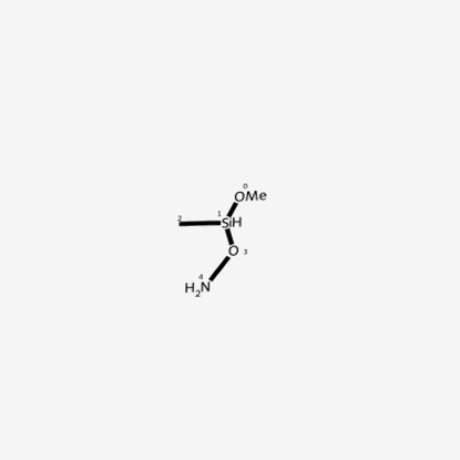 CO[SiH](C)ON